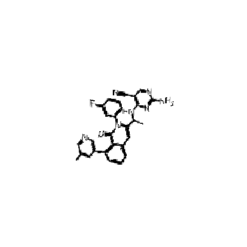 Cc1cncc(-c2cccc3cc([C@H](C)Nc4nc(N)ncc4C#N)n(-c4cccc(F)c4)c(=O)c23)c1